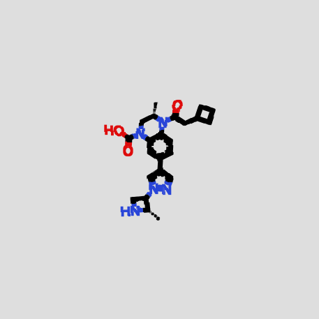 C[C@@H]1NCC1n1cc(-c2ccc3c(c2)N(C(=O)O)C[C@H](C)N3C(=O)CC2CCC2)cn1